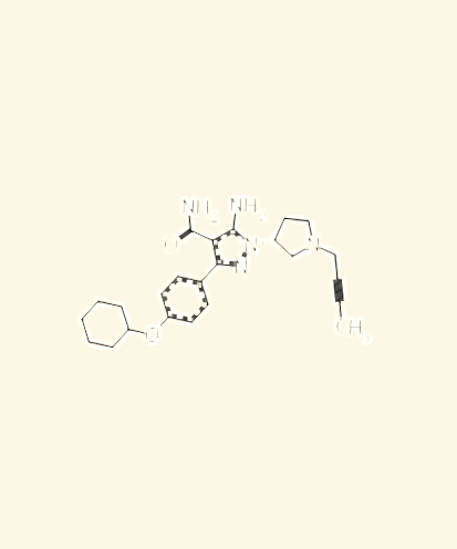 CC#CCN1CC[C@@H](n2nc(-c3ccc(OC4CCCCC4)cc3)c(C(N)=O)c2N)C1